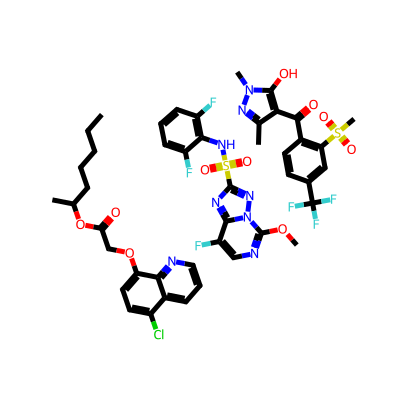 CCCCCC(C)OC(=O)COc1ccc(Cl)c2cccnc12.COc1ncc(F)c2nc(S(=O)(=O)Nc3c(F)cccc3F)nn12.Cc1nn(C)c(O)c1C(=O)c1ccc(C(F)(F)F)cc1S(C)(=O)=O